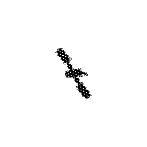 CC(=O)c1ccc2c3ccc4c5c(ccc(c6ccc(C(C)=O)c1c26)c53)C(=O)N(CCc1ccc(Oc2cc(C(C)=O)c3c(C(C)=O)ccc5c6c(Oc7ccc(CCN8C(=O)c9ccc%10c%11ccc(C(C)=O)c%12c(C(C)=O)ccc(c%13ccc(c9c%10%13)C8=O)c%12%11)cc7)cc7c8c(ccc(c2c35)c86)C(=O)N(CCCBr)C7=O)cc1)C4=O